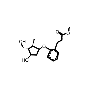 COC(=O)CCc1ccccc1O[C@H]1C[C@@H](O)[C@H](CO)[C@H]1C